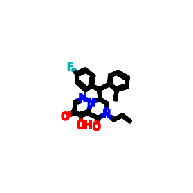 CCCN1CC(C(c2ccc(F)cc2)c2ccccc2C)n2ncc(=O)c(O)c2C1=O